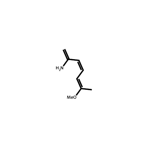 C=C(N)/C=C\C=C(/C)OC